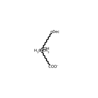 CCCCCCCCCCCCCCCCCCCCC(O)C[N+](C)(C)CCCCCCCCCCC(=O)[O-]